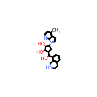 Cc1ccnc2c1ccn2C1CC(C(O)c2cccc3c2CNCC3)[C@@H](O)[C@H]1O